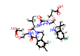 Cc1ccc2c(c1F)CCN(C(=O)[C@@H](NC(=O)[C@H](CCCC(=O)O)NC(=O)[C@H]1Nc3ccc(F)cc3C1(C)C)C(C)C)[C@@H]2C(=O)N[C@H](C=O)CC(=O)O